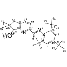 CC(=Nc1c(C(C)(C)C)cc(C(C)(C)C)cc1C(C)(C)C)c1ccc2c(n1)C(O)C1(CC1)C2